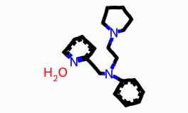 O.c1ccc(N(CCN2CCCCC2)Cc2ccccn2)cc1